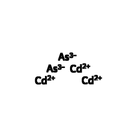 [As-3].[As-3].[Cd+2].[Cd+2].[Cd+2]